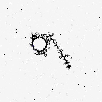 CO[C@@H]1/C=C/C=C(\C)Cc2cc(C)c(Cl)c(c2)N(C)C(=O)C[C@H](OC(=O)[C@H](C)N(C)C(=O)CCOCCOCCNC(=O)[C@@H](N)CCC(=O)OC(C)(C)C)C2(C)OC2[C@H](C)[C@@H]2C[C@@]1(O)NC(=O)O2